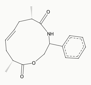 C[C@@H]1C/C=C/C[C@H](C)C(=O)NC(c2ccccc2)COC1=O